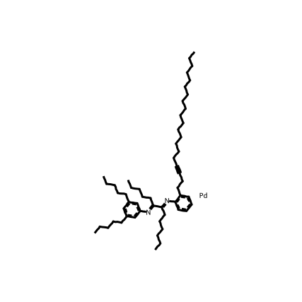 CCCCCCCCCCCCCCCCC#CCCc1ccccc1/N=C(CCCCCC)/C(CCCCC)=N/c1cc(CCCCC)cc(CCCCC)c1.[Pd]